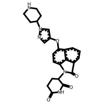 O=C1CCC(N2C(=O)c3cccc4c(Oc5cnn(C6CCNCC6)c5)ccc2c34)C(=O)N1